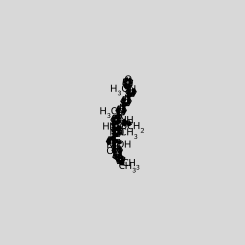 C=CC(=O)Nc1cc(Nc2nc(-c3ccnc(N4CCn5c(cc6c5CC(C)(C)C6)C4=O)c3CO)cn(C)c2=O)ccc1N1CCN(C2CCN(c3ccnc(C4(C)CCOCC4)c3)CC2)C[C@@H]1C